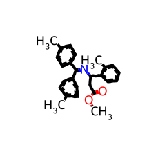 COC(=O)CC(N=C(c1ccc(C)cc1)c1ccc(C)cc1)c1ccccc1C